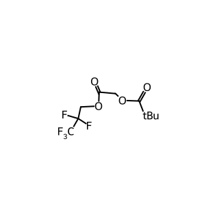 CC(C)(C)C(=O)OCC(=O)OCC(F)(F)C(F)(F)F